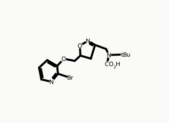 CC(C)(C)N(CC1=NOC(COc2cccnc2Br)C1)C(=O)O